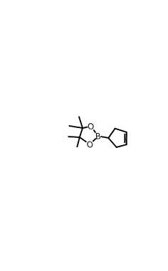 CC1(C)OB(C2CC=CC2)OC1(C)C